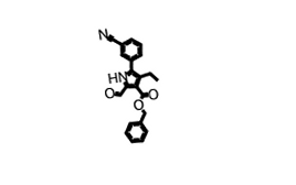 CCc1c(-c2cccc(C#N)c2)[nH]c(C=O)c1C(=O)OCc1ccccc1